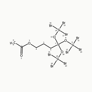 CC(=O)OCCC[Si](O[Si](Br)(Br)Br)(O[Si](Br)(Br)Br)O[Si](Br)(Br)Br